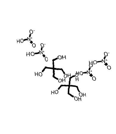 O=[N+]([O-])O.O=[N+]([O-])O.O=[N+]([O-])O.O=[N+]([O-])O.OCC(CO)(CO)CO.OCC(CO)(CO)CO